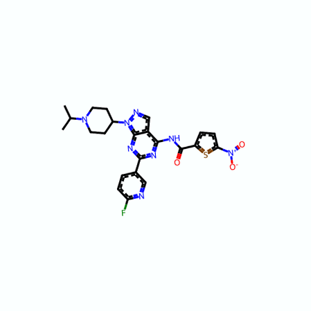 CC(C)N1CCC(n2ncc3c(NC(=O)c4ccc([N+](=O)[O-])s4)nc(-c4ccc(F)nc4)nc32)CC1